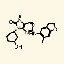 Cc1cc2c(cc1Nc1ncc3c(n1)n(C1CCCC(O)C1)c(=O)n3C)CCO2